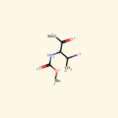 COC(=O)C(NC(=O)OC(C)(C)C)C(C)I